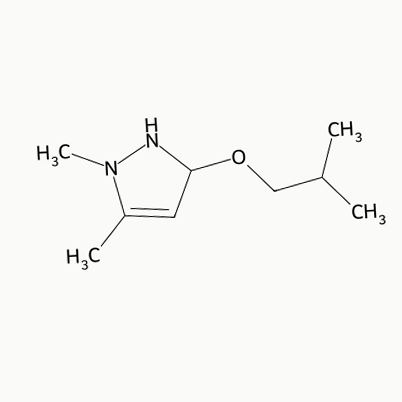 CC1=CC(OCC(C)C)NN1C